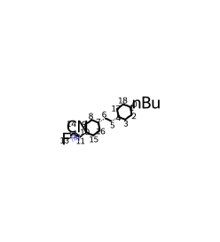 CCCC[C@H]1CC[C@H](CC[C@H]2CC[C@H](/C=C(/F)C#N)CC2)CC1